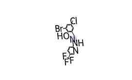 Oc1c(Br)cc(Cl)cc1/C=N/Nc1ccc(C(F)(F)F)cn1